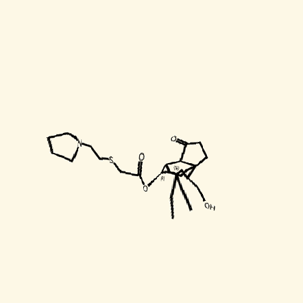 CC1(C)C[C@@H](OC(=O)CSCCN2CCCC2)C2CCCC3(CCC(=O)C23)C[C@@H]1O